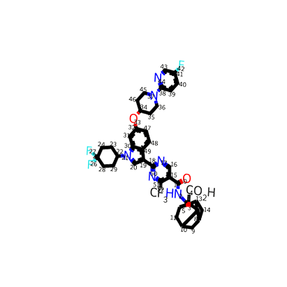 O=C(NC1(C(=O)O)C2CCC3CC(C2)CC1C3)c1cnc(-c2cn(C3CCC(F)(F)CC3)c3cc(OC4CCN(c5ccc(F)cn5)CC4)ccc23)nc1C(F)(F)F